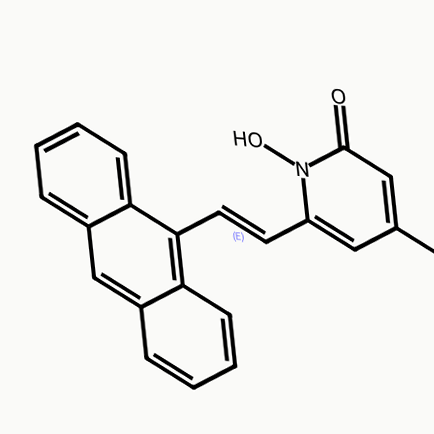 Cc1cc(/C=C/c2c3ccccc3cc3ccccc23)n(O)c(=O)c1